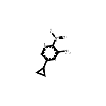 Nc1cc(C2CC2)cnc1[N+](=O)[O-]